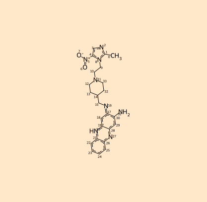 Cc1ncc([N+](=O)[O-])n1CCN1CCC(CN=c2cc3[nH]c4ccccc4nc-3cc2N)CC1